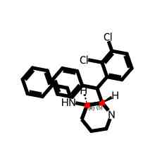 Clc1cccc(C(c2ccccc2)[C@H]2[C@H](NCc3ccccc3)C3CCN2CC3)c1Cl